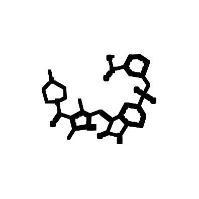 Cc1[nH]c(/C=C2\C(=O)Nc3ccc(S(=O)(=O)Cc4cccc([N+](=O)[O-])c4)cc32)c(C)c1C(=O)N1CCN(C)CC1